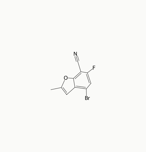 Cc1cc2c(Br)cc(F)c(C#N)c2o1